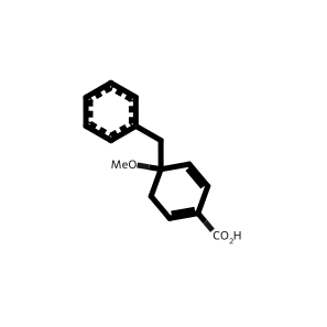 COC1(Cc2ccccc2)C=CC(C(=O)O)=CC1